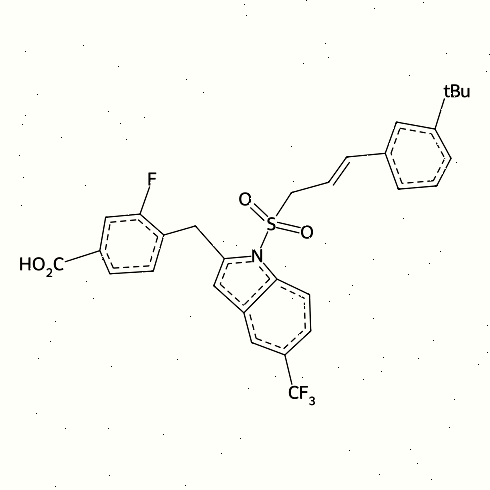 CC(C)(C)c1cccc(C=CCS(=O)(=O)n2c(Cc3ccc(C(=O)O)cc3F)cc3cc(C(F)(F)F)ccc32)c1